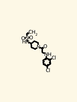 C=CS(=O)(=O)NC1CCN(C(=O)CNc2ccc(Cl)cc2Cl)CC1